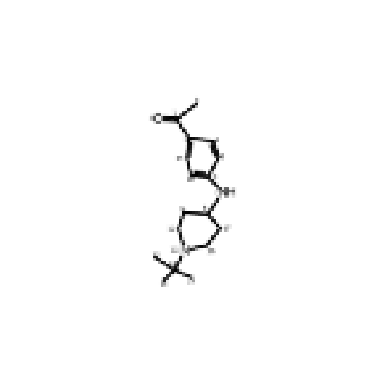 CC(=O)c1ccc(NC2CCN(C(C)(C)C)CC2)cc1